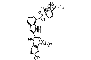 CC12CCC(C(=O)Nc3cccc4cc(C(=O)Nc5ccc(C#N)cc5C(=O)O)[nH]c34)(OC1=O)C2(C)C